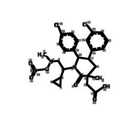 CN(CC(C1CC1)N1C(=O)C(C)(CC(=O)O)CC(c2cccc(Cl)c2)C1c1ccc(Cl)cc1)O[SH](=O)=O